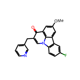 COc1cc2c(=O)c(Cc3cccnc3)cn3c4ccc(F)cc4c(c1)c23